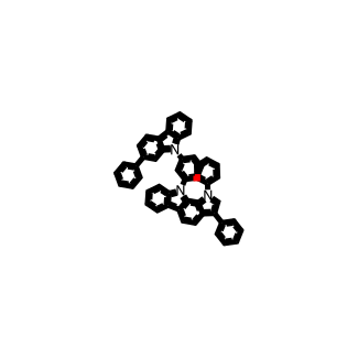 c1ccc(-c2ccc3c4ccccc4n(-c4cccc(-n5c6ccccc6c6ccc7c(-c8ccccc8)cn(-c8ccccc8)c7c65)c4)c3c2)cc1